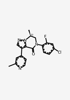 Cc1cc(-c2cnn3c2C(=O)N(c2ccc(Cl)cc2F)C[C@@H]3C)ccn1